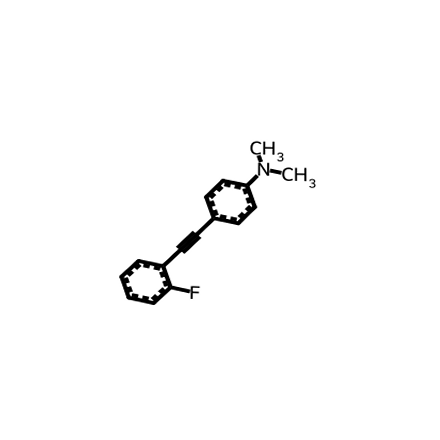 CN(C)c1ccc(C#Cc2ccccc2F)cc1